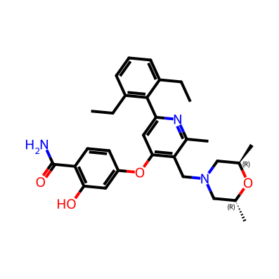 CCc1cccc(CC)c1-c1cc(Oc2ccc(C(N)=O)c(O)c2)c(CN2C[C@@H](C)O[C@H](C)C2)c(C)n1